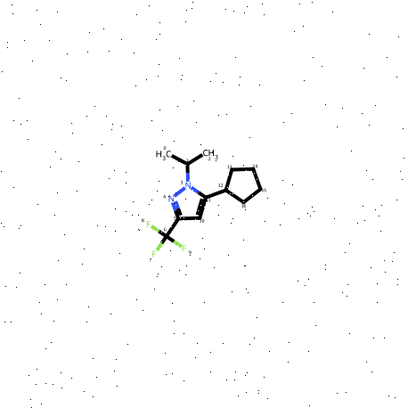 CC(C)n1nc(C(F)(F)F)cc1C1CCCC1